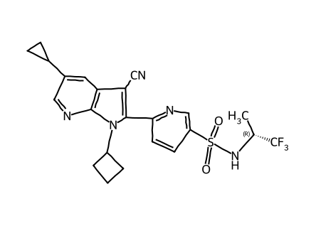 C[C@@H](NS(=O)(=O)c1ccc(-c2c(C#N)c3cc(C4CC4)cnc3n2C2CCC2)nc1)C(F)(F)F